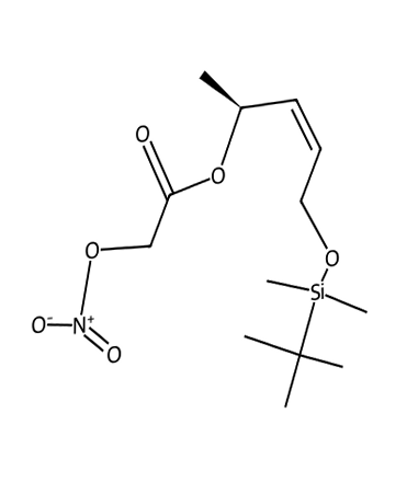 C[C@@H](/C=C\CO[Si](C)(C)C(C)(C)C)OC(=O)CO[N+](=O)[O-]